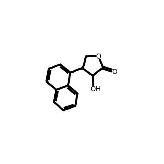 O=C1OCC(c2cccc3ccccc23)C1O